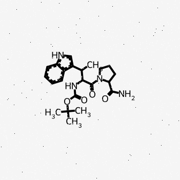 CC(c1c[nH]c2ccccc12)C(NC(=O)OC(C)(C)C)C(=O)N1CCCC1C(N)=O